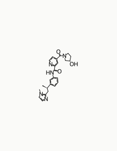 C[C@H](Cc1nccn1C)c1cccc(NC(=O)c2cc(C(=O)N3CC[C@H](O)C3)ccn2)c1